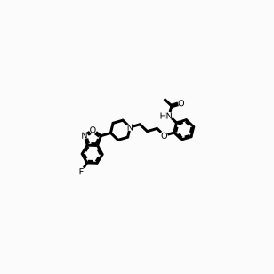 CC(=O)Nc1ccccc1OCCCN1CCC(c2onc3cc(F)ccc23)CC1